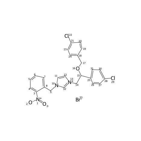 O=[N+]([O-])c1ccccc1Cn1cc[n+](CC(OCc2ccc(Cl)cc2)c2ccc(Cl)cc2)c1.[Br-]